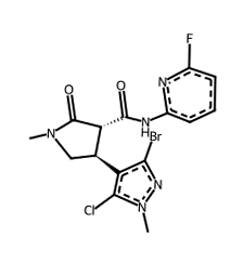 CN1C[C@H](c2c(Br)nn(C)c2Cl)[C@@H](C(=O)Nc2cccc(F)n2)C1=O